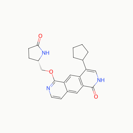 O=C1CC[C@@H](COc2nccc3cc4c(=O)[nH]cc(C5CCCC5)c4cc23)N1